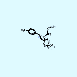 Cc1ccc(/C=C/C2(NC(=O)OC(C)(C)C)COC(C)(C)OC2)cc1